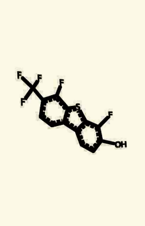 Oc1ccc2c(sc3c(F)c(C(F)(F)F)ccc32)c1F